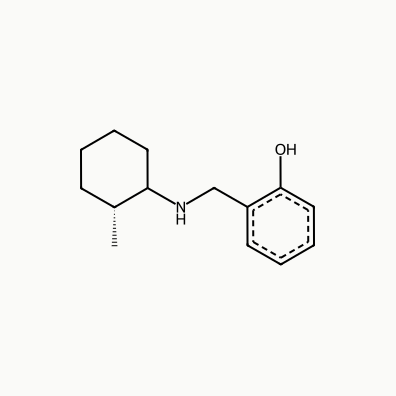 C[C@@H]1CCCCC1NCc1ccccc1O